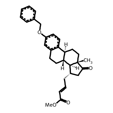 COC(=O)/C=C/C[C@H]1CC(=O)[C@@]2(C)CC[C@@H]3c4ccc(OCc5ccccc5)cc4CC[C@H]3[C@H]12